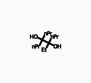 CCCC(O)(CC)C(O)(CCC)CCC